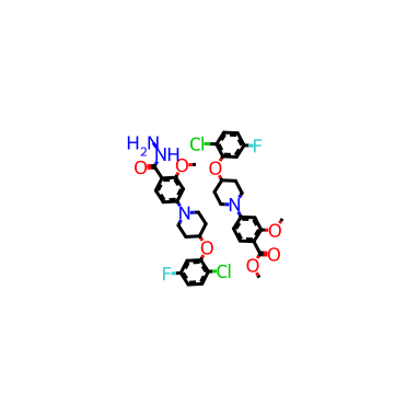 COC(=O)c1ccc(N2CCC(Oc3cc(F)ccc3Cl)CC2)cc1OC.COc1cc(N2CCC(Oc3cc(F)ccc3Cl)CC2)ccc1C(=O)NN